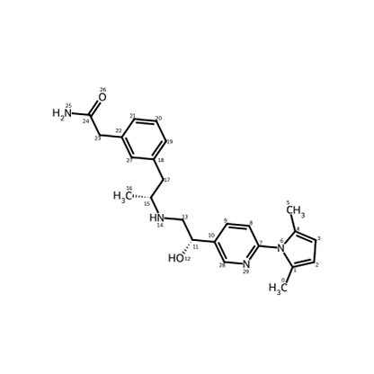 Cc1ccc(C)n1-c1ccc([C@H](O)CN[C@H](C)Cc2cccc(CC(N)=O)c2)cn1